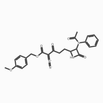 COc1ccc(COC(=O)C(=[N+]=[N-])C(=O)CCC2NC(=O)C2N(C(C)=O)c2ccccc2)cc1